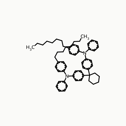 CCCCCCCCc1ccc(N(c2ccccc2)c2ccc(C3(c4ccc(N(c5ccccc5)c5ccc(CCCCCCCC)cc5)cc4)CCCCC3)cc2)cc1